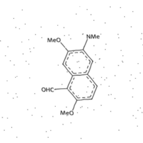 CNc1cc2ccc(OC)c(C=O)c2cc1OC